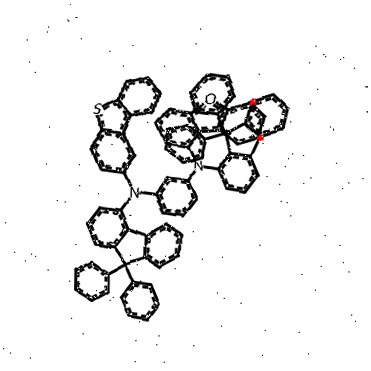 c1ccc(C2(c3ccccc3)c3ccccc3-c3c(N(c4cccc(N(c5cccc6c5C(c5ccccc5)(c5ccccc5)c5ccccc5-6)c5cccc6oc7ccccc7c56)c4)c4ccc5sc6ccccc6c5c4)cccc32)cc1